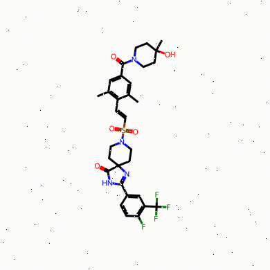 Cc1cc(C(=O)N2CCC(C)(O)CC2)cc(C)c1C=CS(=O)(=O)N1CCC2(CC1)N=C(c1ccc(F)c(C(F)(F)F)c1)NC2=O